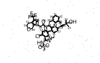 Cn1nc(NS(C)(=O)=O)c2c(Cl)ccc(-c3ccc(C#CC(C)(C)O)nc3[C@H](Cc3cccc(F)c3)NC(=O)Cn3nc(C(F)(F)F)c4c3COCC4)c21